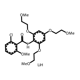 COCCOc1cc(OCCOC)c(PC(=O)c2c(Cl)cccc2OC)c(OCCOC)c1.[LiH]